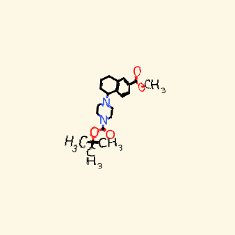 COC(=O)c1ccc2c(c1)CCCC2N1CCN(C(=O)OC(C)(C)C)CC1